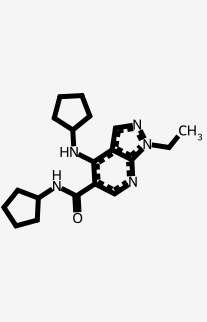 CCn1ncc2c(NC3CCCC3)c(C(=O)NC3CCCC3)cnc21